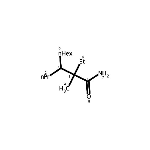 CCCCCCC(CCC)C(C)(CC)C(N)=O